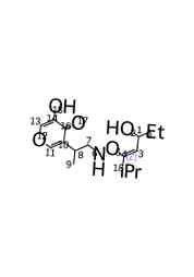 CCC(O)/C=C(\ONCC(C)c1cocc(O)c1=O)C(C)C